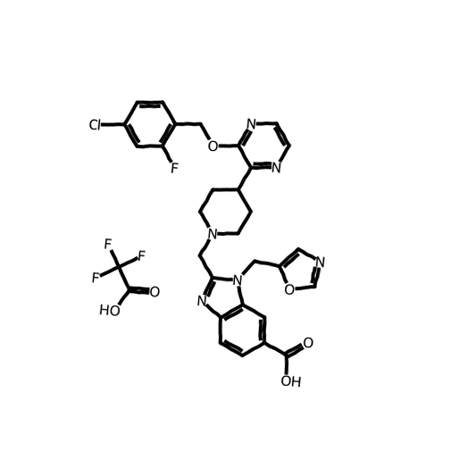 O=C(O)C(F)(F)F.O=C(O)c1ccc2nc(CN3CCC(c4nccnc4OCc4ccc(Cl)cc4F)CC3)n(Cc3cnco3)c2c1